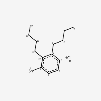 CCCCc1ccc[c]([Sn])c1CCCC.Cl